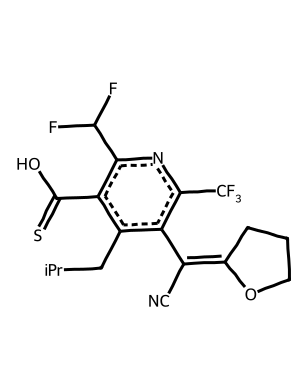 CC(C)Cc1c(C(O)=S)c(C(F)F)nc(C(F)(F)F)c1C(C#N)=C1CCCO1